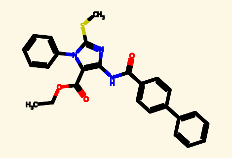 CCOC(=O)c1c(NC(=O)c2ccc(-c3ccccc3)cc2)nc(SC)n1-c1ccccc1